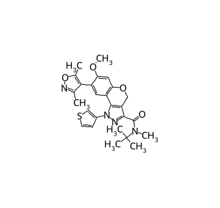 COc1cc2c(cc1-c1c(C)noc1C)-c1c(c(C(=O)N(C)C(C)(C)C)nn1-c1ccsc1)CO2